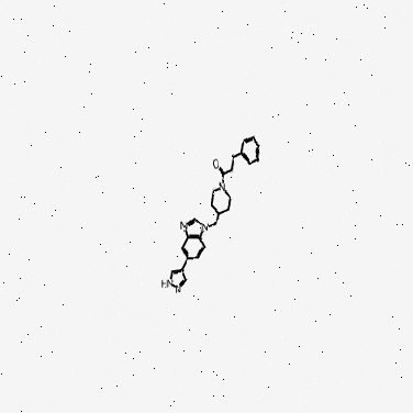 O=C(CCc1ccccc1)N1CCC(Cn2cnc3cc(-c4cn[nH]c4)ccc32)CC1